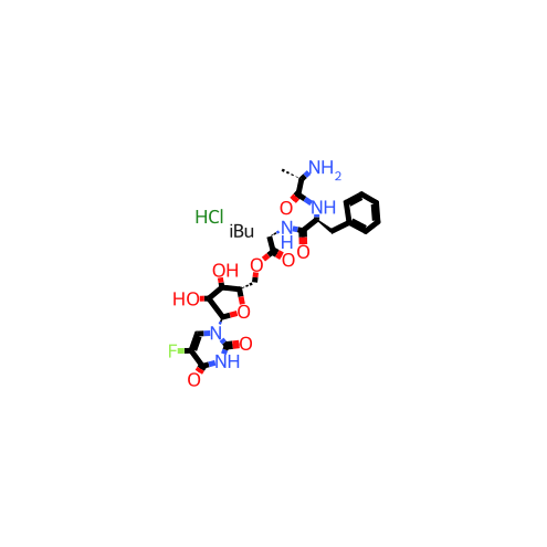 CC[C@H](C)[C@H](NC(=O)[C@H](Cc1ccccc1)NC(=O)[C@H](C)N)C(=O)OC[C@@H]1O[C@H](n2cc(F)c(=O)[nH]c2=O)C(O)C1O.Cl